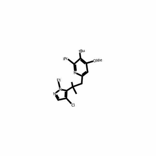 CCn1ncc(Cl)c1C(C)(C)Cc1cc(OC)c(C(C)(C)C)c(C(C)C)n1